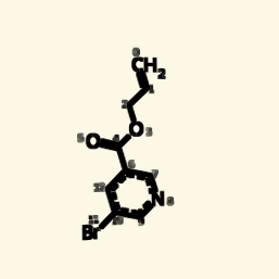 C=CCOC(=O)c1cncc(Br)c1